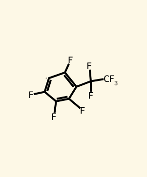 Fc1[c]c(F)c(C(F)(F)C(F)(F)F)c(F)c1F